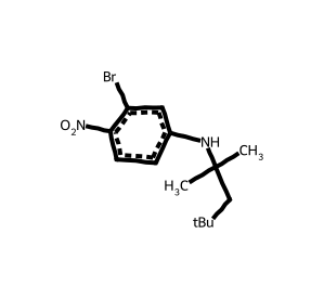 CC(C)(C)CC(C)(C)Nc1ccc([N+](=O)[O-])c(Br)c1